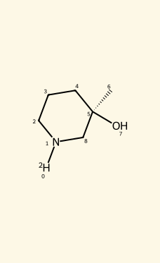 [2H]N1CCC[C@@](C)(O)C1